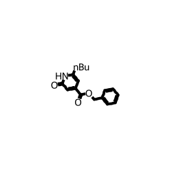 CCCCc1cc(C(=O)OCc2ccccc2)cc(=O)[nH]1